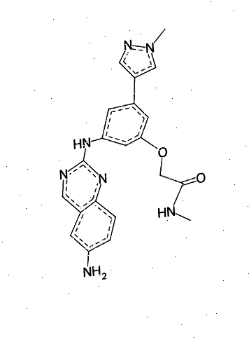 CNC(=O)COc1cc(Nc2ncc3cc(N)ccc3n2)cc(-c2cnn(C)c2)c1